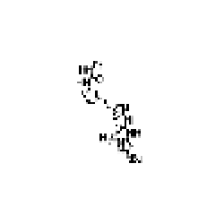 CCNC(=O)Nc1cc(CCc2cnc(NC(=O)Nc3cc(C(C)(C)C)nn3C)s2)ccn1